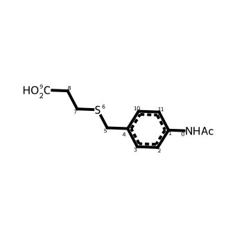 CC(=O)Nc1ccc(CSCCC(=O)O)cc1